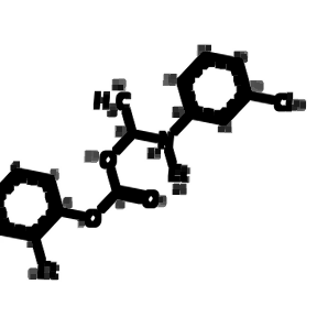 CCc1ccccc1OC(=O)OC(C)N(CC)c1cccc(Cl)c1